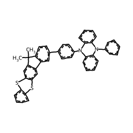 CC1(C)c2ccc(-c3ccc(N4c5ccccc5N(c5ccccc5)c5ccccc54)cc3)cc2-c2cc3c(cc21)Sc1ccccc1S3